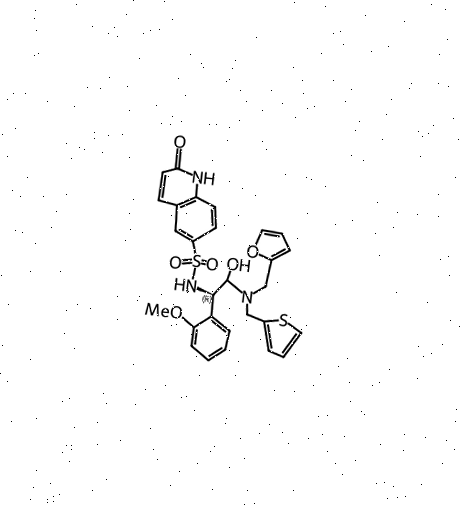 COc1ccccc1[C@@H](NS(=O)(=O)c1ccc2[nH]c(=O)ccc2c1)C(O)N(Cc1ccco1)Cc1cccs1